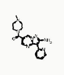 CN1CCN(C(=O)c2cnc3c(-c4ccccn4)c(N)nn3c2)CC1